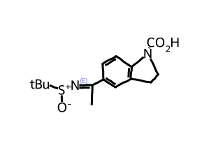 C/C(=N\[S+]([O-])C(C)(C)C)c1ccc2c(c1)CCN2C(=O)O